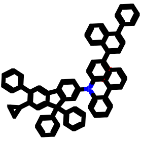 c1ccc(-c2cc3c(cc2C2CC2)C(c2ccccc2)(c2ccccc2)c2cc(N(c4ccc(-c5ccc(-c6ccccc6)c6ccccc56)cc4)c4ccccc4-c4ccccc4)ccc2-3)cc1